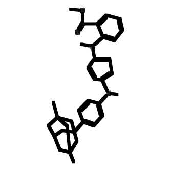 COC(=O)c1ccccc1N(C)c1ccc(N(C)c2ccc(C34CC5CC(C)(CC(C)(C5)C3)C4)cc2)cc1